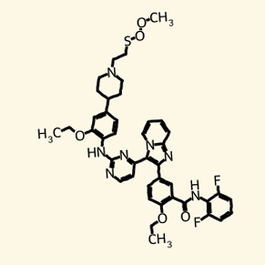 CCOc1cc(C2CCN(CCSOOC)CC2)ccc1Nc1nccc(-c2c(-c3ccc(OCC)c(C(=O)Nc4c(F)cccc4F)c3)nc3ccccn23)n1